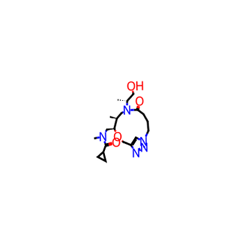 C[C@H](CO)N1C[C@H](C)[C@H](CN(C)C(=O)C2CC2)OCc2cn(nn2)CCCC1=O